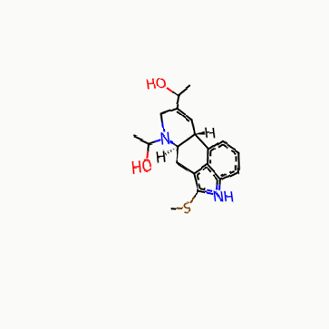 CSc1[nH]c2cccc3c2c1C[C@@H]1[C@@H]3C=C(C(C)O)CN1C(C)O